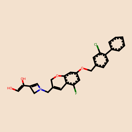 O/C=C(\O)C1=CN(CC2=Cc3c(F)cc(OCc4ccc(-c5ccccc5)c(Cl)c4)cc3OC2)C1